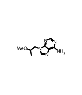 COC(C)Cn1cnc2c(N)ncnc21